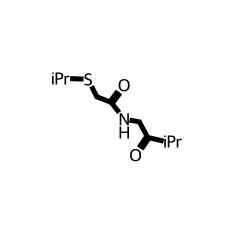 CC(C)SCC(=O)NCC(=O)C(C)C